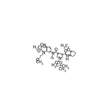 CCO[C@@H]1CCCC[C@H]1NC(=O)[C@H]1C[C@@H](C(=O)N(c2ccc3c(c2)N(CCCOC)C(=O)C(C)(C)O3)C2CC2)CN(C(=O)OC(C)(C)C)C1